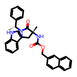 C[C@@H](NC(=O)[C@@](C)(Cc1c[nH]c2ccccc12)NC(=O)OCc1ccc2ccccc2c1)c1ccccc1